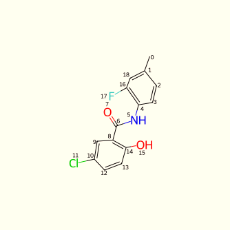 Cc1ccc(NC(=O)c2cc(Cl)ccc2O)c(F)c1